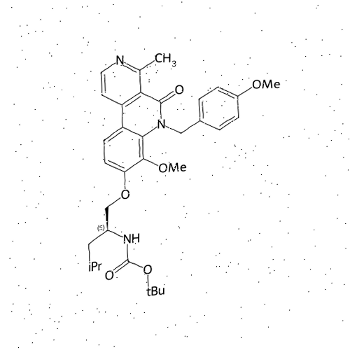 COc1ccc(Cn2c(=O)c3c(C)nccc3c3ccc(OC[C@H](CC(C)C)NC(=O)OC(C)(C)C)c(OC)c32)cc1